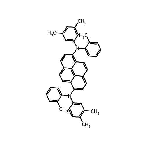 Cc1cc(C)cc(N(c2ccccc2C)c2ccc3ccc4c(N(c5ccc(C)c(C)c5)c5ccccc5C)ccc5ccc2c3c54)c1